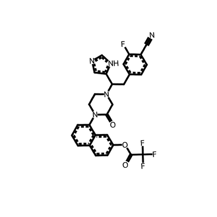 N#Cc1ccc(CC(c2cnc[nH]2)N2CCN(c3cccc4ccc(OC(=O)C(F)(F)F)cc34)C(=O)C2)cc1F